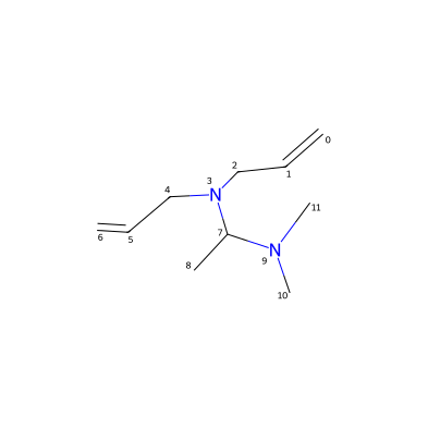 C=CCN(CC=C)C(C)N(C)C